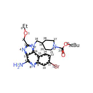 CCOCc1nc2c(N)nc3cc(Br)ccc3c2n1CC1CCN(C(=O)OC(C)(C)C)CC1